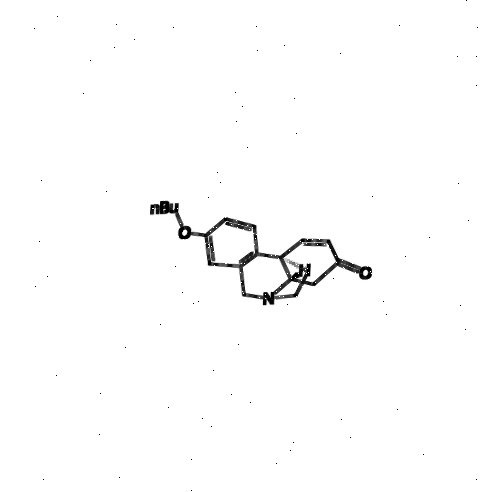 CCCCOc1ccc2c(c1)CN1CC[C@@]23C=CC(=O)C[C@H]13